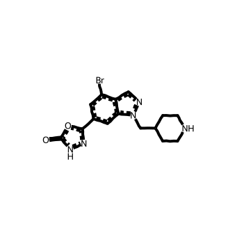 O=c1[nH]nc(-c2cc(Br)c3cnn(CC4CCNCC4)c3c2)o1